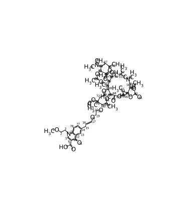 COCCn1cc(C(=O)O)c(=O)c2cc(CC=COCCO[C@H]3[C@H](C)O[C@@H](O[C@H]4[C@H](C)[C@@H](O[C@@H]5O[C@H](C)C[C@H](N(C)C)[C@H]5OC(C)=O)[C@](C)(O)C[C@@H](C)CN(C)[C@H](C)[C@H]5OC(=O)O[C@@]56C(C)[C@H]6OC(=O)[C@@H]4C)C[C@@]3(C)OC)ccc21